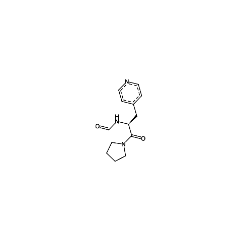 O=CN[C@@H](Cc1ccncc1)C(=O)N1CCCC1